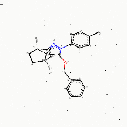 Cc1ccc(-n2nc3c(c2OCc2ccccc2)[C@H]2CC[C@]3(C)C2(C)C)cc1